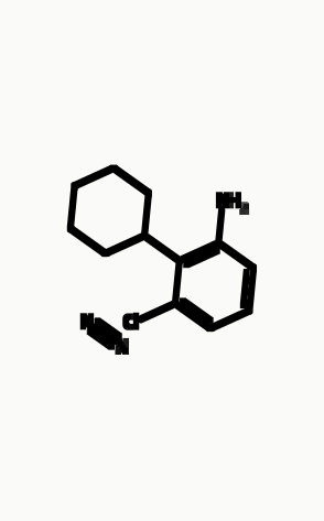 N#N.Nc1cccc(Cl)c1C1CCCCC1